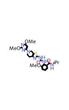 COc1cc(N2CCc3nc(NC(=O)Nc4c(OC)cccc4C(=O)NC(C)C)sc3C2)nc(OC)n1